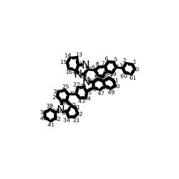 c1ccc(-c2ccc3cc(-c4nc5ccccc5nc4-n4c5cc(-c6cccc7c6c6ccccc6n7-c6ccccc6)ccc5c5cc6ccccc6cc54)ccc3c2)cc1